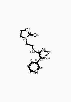 O=C1OCCN1CCOc1nsnc1-c1cccnc1